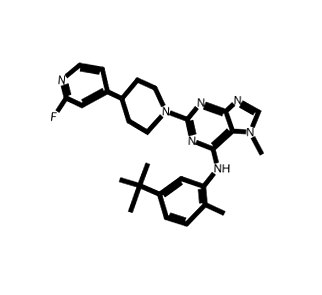 Cc1ccc(C(C)(C)C)cc1Nc1nc(N2CCC(c3ccnc(F)c3)CC2)nc2ncn(C)c12